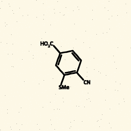 CSc1cc(C(=O)O)ccc1C#N